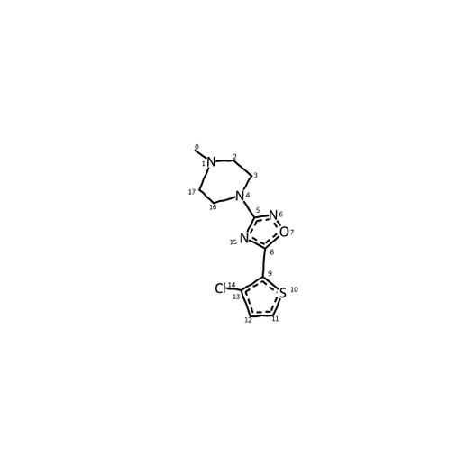 CN1CCN(c2noc(-c3sccc3Cl)n2)CC1